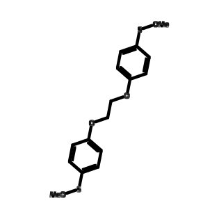 COSc1ccc(OCCOc2ccc(SOC)cc2)cc1